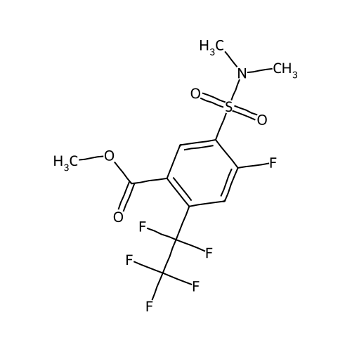 COC(=O)c1cc(S(=O)(=O)N(C)C)c(F)cc1C(F)(F)C(F)(F)F